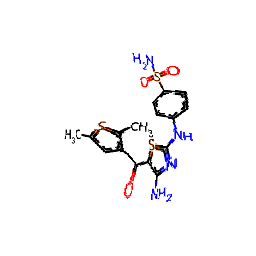 Cc1cc(C(=O)c2sc(Nc3ccc(S(N)(=O)=O)cc3)nc2N)c(C)s1